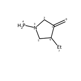 C=C1CN(P)CC1CC